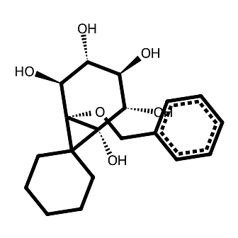 O[C@@H]1[C@@H](O)[C@H](O)[C@]2(OCc3ccccc3)C3(CCCCC3)[C@]2(O)[C@H]1O